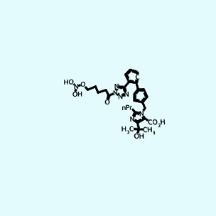 CCCc1nc(C(C)(C)O)c(C(=O)O)n1Cc1ccc(-c2ccccc2-c2nnn(C(=O)CCCCON(O)O)n2)cc1